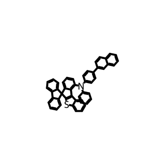 c1ccc(N(c2ccc(-c3ccc4ccccc4c3)cc2)c2cccc3c2-c2c(sc4ccccc24)C32c3ccccc3-c3ccccc32)cc1